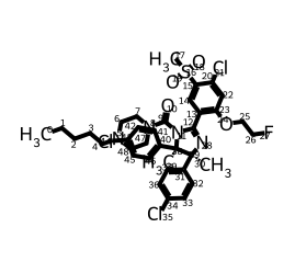 CCCCCN1CCN(C(=O)N2C(c3cc(S(C)(=O)=O)c(Cl)cc3OCCF)=N[C@@](C)(c3ccc(Cl)cc3)[C@@]2(C)c2ccc(Cl)cc2)CC1